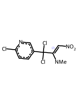 CN/C(=C\[N+](=O)[O-])C(Cl)(Cl)c1ccc(Cl)nc1